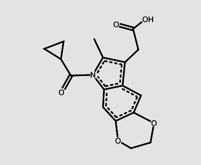 Cc1c(CC(=O)O)c2cc3c(cc2n1C(=O)C1CC1)OCCO3